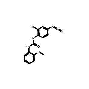 COc1ccccc1NC(=O)Nc1ccc(N=[N+]=[N-])cc1O